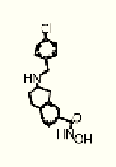 O=C(NO)c1ccc2c(c1)CC(NCc1ccc(Cl)cc1)CC2